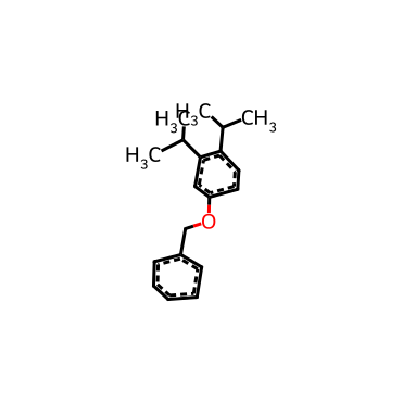 CC(C)c1ccc(OCc2ccccc2)cc1C(C)C